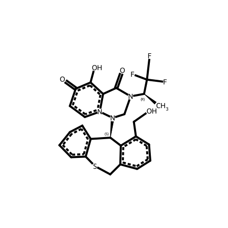 C[C@@H](N1CN([C@@H]2c3ccccc3SCc3cccc(CO)c32)n2ccc(=O)c(O)c2C1=O)C(F)(F)F